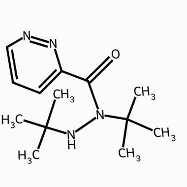 CC(C)(C)NN(C(=O)c1cccnn1)C(C)(C)C